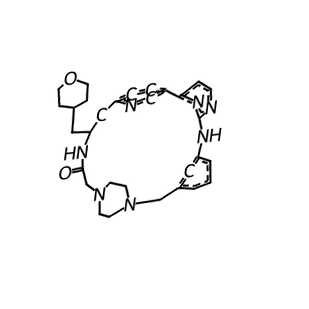 O=C1CN2CCN(CC2)Cc2cccc(c2)Nc2nccc(n2)-c2ccc(nc2)CC(CC2CCOCC2)N1